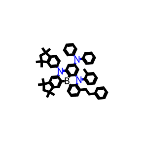 Cc1ccccc1N1c2cc(N(c3ccccc3)c3ccccc3)cc3c2B(c2cc4c(cc2N3c2ccc3c(c2)C(C)(C)CC3(C)C)C(C)(C)CC4(C)C)c2cccc(CCc3ccccc3)c21